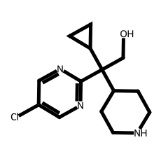 OCC(c1ncc(Cl)cn1)(C1CCNCC1)C1CC1